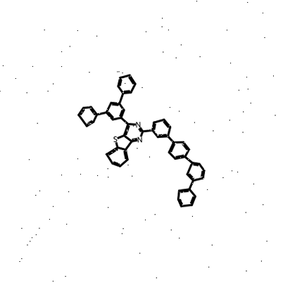 c1ccc(-c2cccc(-c3ccc(-c4cccc(-c5nc(-c6cc(-c7ccccc7)cc(-c7ccccc7)c6)c6sc7ccccc7c6n5)c4)cc3)c2)cc1